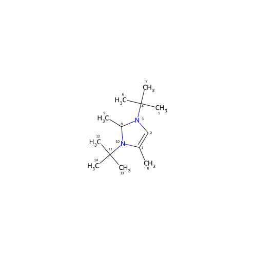 CC1=CN(C(C)(C)C)C(C)N1C(C)(C)C